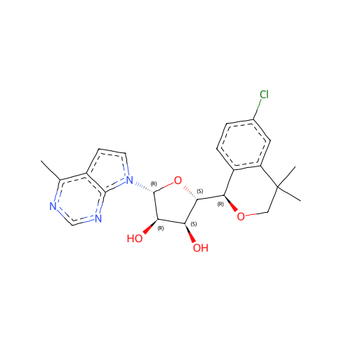 Cc1ncnc2c1ccn2[C@@H]1O[C@H]([C@@H]2OCC(C)(C)c3cc(Cl)ccc32)[C@@H](O)[C@H]1O